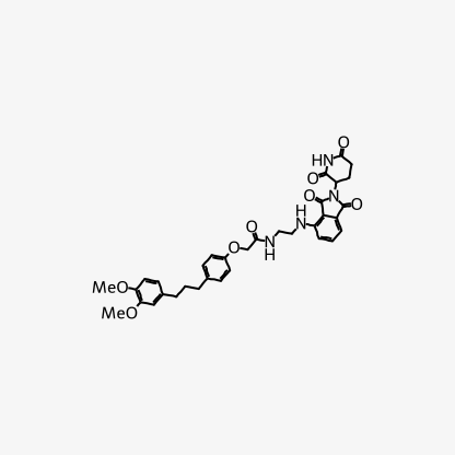 COc1ccc(CCCc2ccc(OCC(=O)NCCNc3cccc4c3C(=O)N(C3CCC(=O)NC3=O)C4=O)cc2)cc1OC